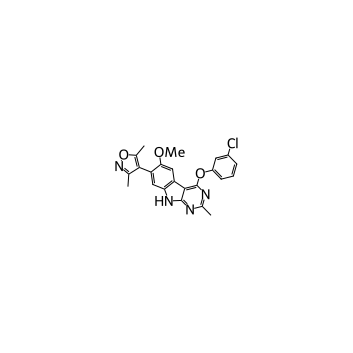 COc1cc2c(cc1-c1c(C)noc1C)[nH]c1nc(C)nc(Oc3cccc(Cl)c3)c12